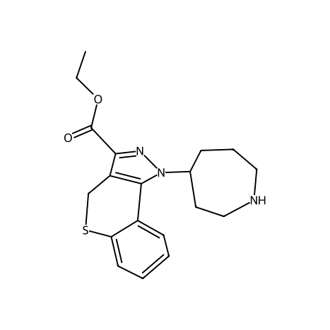 CCOC(=O)c1nn(C2CCCNCC2)c2c1CSc1ccccc1-2